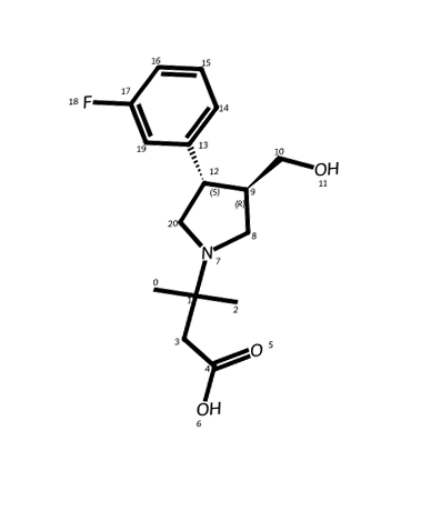 CC(C)(CC(=O)O)N1C[C@H](CO)[C@@H](c2cccc(F)c2)C1